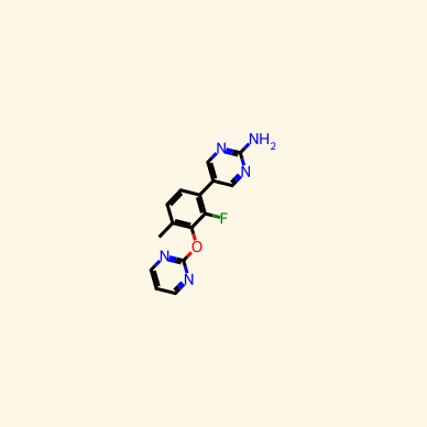 Cc1ccc(-c2cnc(N)nc2)c(F)c1Oc1ncccn1